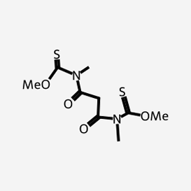 COC(=S)N(C)C(=O)CC(=O)N(C)C(=S)OC